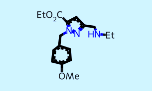 CCNCc1cc(C(=O)OCC)n(Cc2ccc(OC)cc2)n1